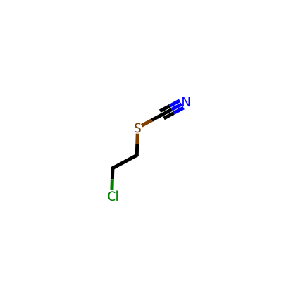 N#CSCCCl